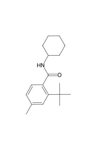 Cc1ccc(C(=O)NC2CCCCC2)c(C(C)(C)C)c1